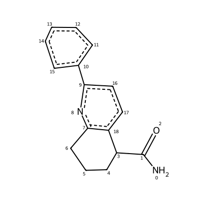 NC(=O)C1CCCc2nc(-c3ccccc3)ccc21